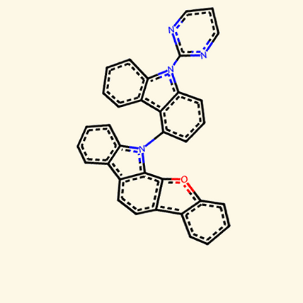 c1cnc(-n2c3ccccc3c3c(-n4c5ccccc5c5ccc6c7ccccc7oc6c54)cccc32)nc1